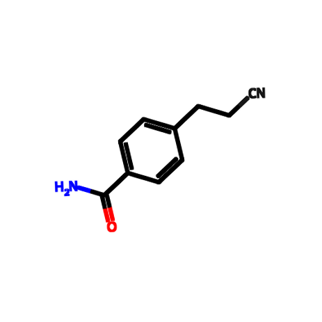 N#CCCc1ccc(C(N)=O)cc1